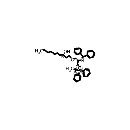 CCCCCCC[C@@H](O)CCOC[C@H](CO[Si](c1ccccc1)(c1ccccc1)C(C)(C)C)N=C(c1ccccc1)c1ccccc1